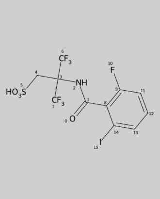 O=C(NC(CS(=O)(=O)O)(C(F)(F)F)C(F)(F)F)c1c(F)cccc1I